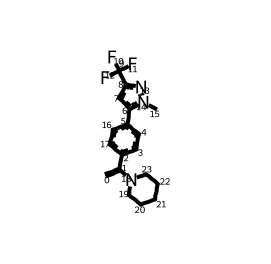 C=C(c1ccc(-c2cc(C(F)(F)F)nn2C)cc1)N1CCCCC1